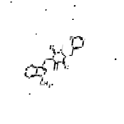 Cn1cc(C[C@@H]2NC(=O)[C@H](Cc3cccnc3)NC2=O)c2ccccc21